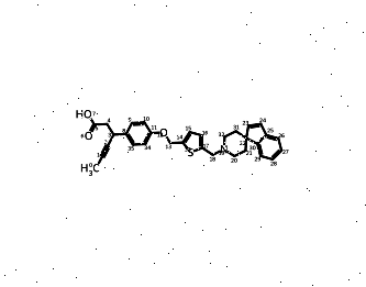 CC#CC(CC(=O)O)c1ccc(OCc2ccc(CN3CCC4(C=Cc5ccccc54)CC3)s2)cc1